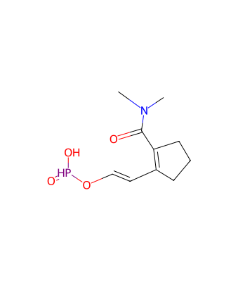 CN(C)C(=O)C1=C(/C=C/O[PH](=O)O)CCC1